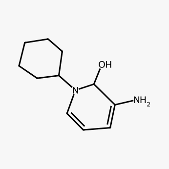 NC1=CC=CN(C2CCCCC2)C1O